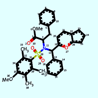 COC(=O)C(Cc1ccccc1)N(C(c1ccccc1)c1ccc2cccc-2o1)S(=O)(=O)c1c(C)cc(OC)c(C)c1C